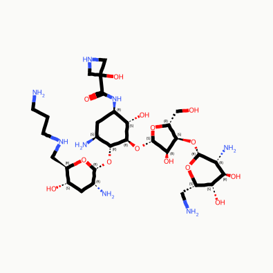 NCCCNC[C@H]1O[C@H](O[C@H]2[C@H](O[C@@H]3O[C@H](CO)[C@@H](O[C@H]4O[C@@H](CN)[C@@H](O)[C@H](O)[C@H]4N)[C@H]3O)[C@@H](O)[C@H](NC(=O)C3(O)CNC3)C[C@@H]2N)[C@H](N)C[C@@H]1O